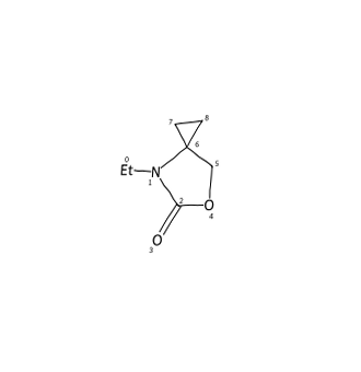 CCN1C(=O)OCC12CC2